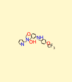 OC1c2cc(NCc3ccc(OC(F)(F)F)cc3)ccc2OCCN1Cc1ccccn1